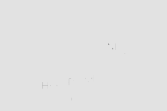 CCCCC(CP(=O)(O)O)C(C)N